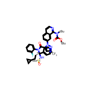 CC(C)(C)OC(=O)N(c1nccc2ccc(-n3nc(C(F)(F)F)cc3C(=O)N(c3ccccc3F)[C@](CCC3CC3)(N[S@+]([O-])C(C)(C)C)c3ccncc3)cc12)C(C)(C)C